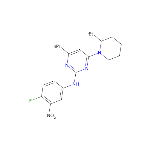 [CH2][CH]C1CCCCN1c1cc(CCC)nc(Nc2ccc(F)c([N+](=O)[O-])c2)n1